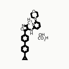 Cc1noc(-c2ccc(-c3ccc(C4CC4)cc3)cc2)c1Nc1cccc(N2CCOCC2)n1.O=C(O)O